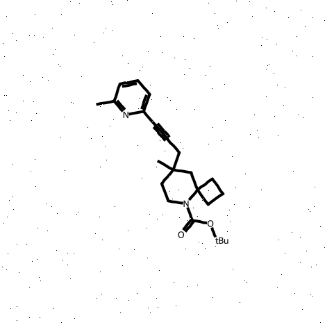 Cc1cccc(C#CCC2(C)CCN(C(=O)OC(C)(C)C)C3(CCC3)C2)n1